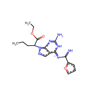 CCCC(C(=O)OCC)n1ncc2/c(=N/C(=N)c3ccco3)[nH]c(N)nc21